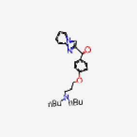 CCCCN(CCCC)CCCOc1ccc(C(=O)c2cn3ccccc3n2)cc1